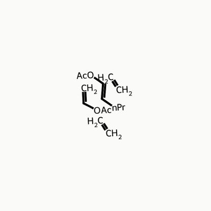 C=C.C=C.C=COC(C)=O.CCCC=COC(C)=O